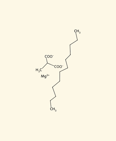 CC(C(=O)[O-])C(=O)[O-].CCCCCCCCCCCC.[Mg+2]